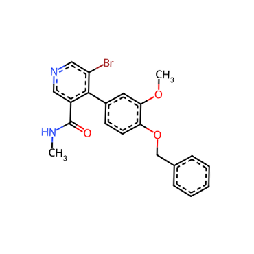 CNC(=O)c1cncc(Br)c1-c1ccc(OCc2ccccc2)c(OC)c1